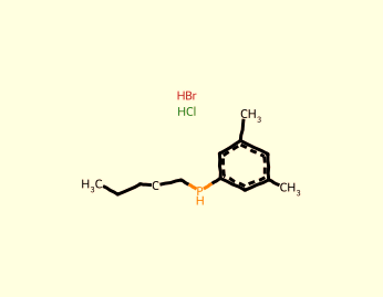 Br.CCCCCPc1cc(C)cc(C)c1.Cl